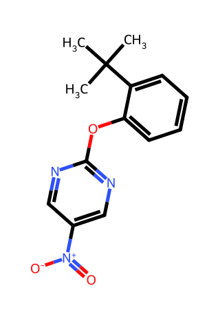 CC(C)(C)c1ccccc1Oc1ncc([N+](=O)[O-])cn1